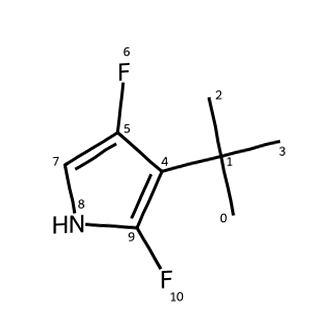 CC(C)(C)c1c(F)c[nH]c1F